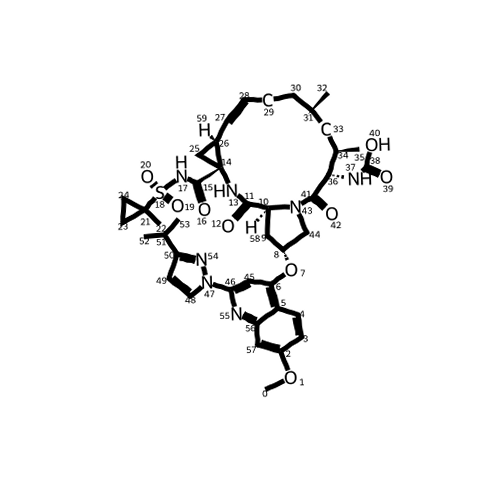 COc1ccc2c(O[C@@H]3C[C@H]4C(=O)N[C@]5(C(=O)NS(=O)(=O)C6(C)CC6)C[C@H]5C=CCC[C@@H](C)C[C@@H](C)[C@H](NC(=O)O)C(=O)N4C3)cc(-n3ccc(C(C)C)n3)nc2c1